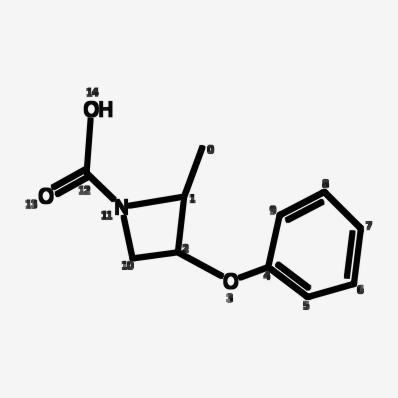 CC1C(Oc2ccccc2)CN1C(=O)O